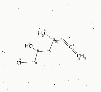 C=C=C[C@@H](C)CC(O)CCl